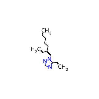 C=C/C(=C\n1ncnc1C=C)CCCCC